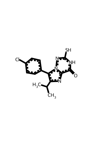 CC(C)c1nc2c(=O)[nH]c(S)nn2c1-c1ccc(Cl)cc1